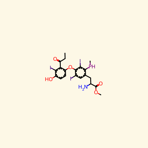 CCC(=O)c1c(Oc2c(I)cc(CC(N)C(=O)OC)c(PC)c2I)ccc(O)c1I